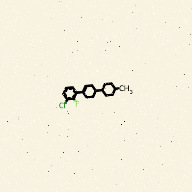 CC1CCC(C2CC=C(c3cccc(Cl)c3F)CC2)CC1